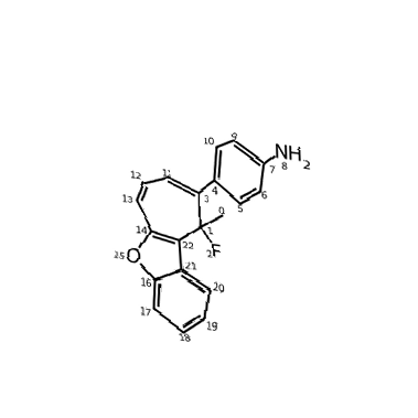 CC1(F)C(c2ccc(N)cc2)=CC=Cc2oc3ccccc3c21